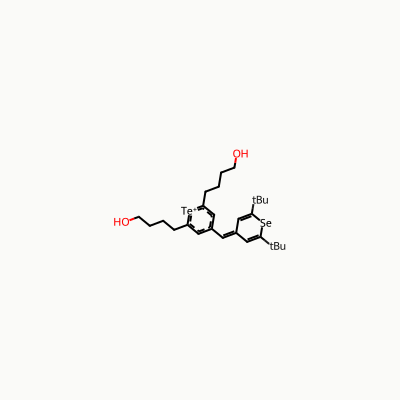 CC(C)(C)C1=CC(=Cc2cc(CCCCO)[te+]c(CCCCO)c2)C=C(C(C)(C)C)[Se]1